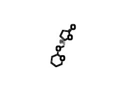 O=C1CC[C@@H](COC2CCCCO2)O1